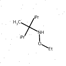 CCONC(C)(C(C)C)C(C)C